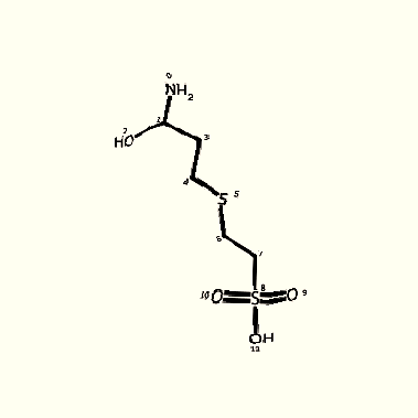 NC(O)CCSCCS(=O)(=O)O